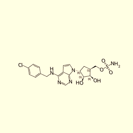 NS(=O)(=O)OC[C@@H]1C[C@@H](n2ccc3c(NCc4ccc(Cl)cc4)ncnc32)[C@H](O)[C@@H]1O